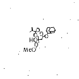 C=C(C)C(=O)OCC(O)(COCOC)CC(=O)OC1C2CC3CC(C2)CC1C3